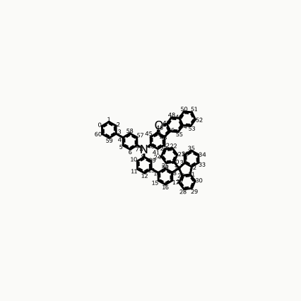 c1ccc(-c2ccc(N(c3cccc(-c4cccc(C5(c6ccccc6)c6ccccc6-c6ccccc65)c4)c3)c3ccc4c(c3)oc3cc5ccccc5cc34)cc2)cc1